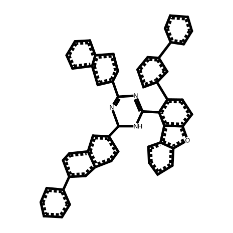 c1ccc(-c2cccc(-c3ccc4oc5ccccc5c4c3C3=NC(c4ccc5ccccc5c4)=NC(c4ccc5cc(-c6ccccc6)ccc5c4)N3)c2)cc1